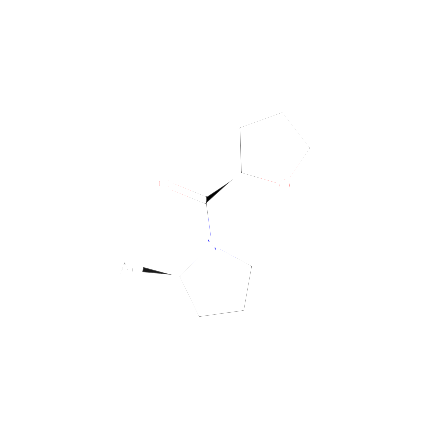 CC(=O)[C@@H]1CCCN1C(=O)[C@H]1CCCO1